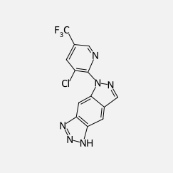 FC(F)(F)c1cnc(-n2ncc3cc4[nH]nnc4cc32)c(Cl)c1